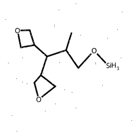 CC(CO[SiH3])C(C1COC1)C1COC1